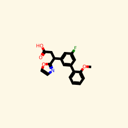 COc1ccccc1-c1cc(F)cc(C(CC(=O)O)c2ncco2)c1